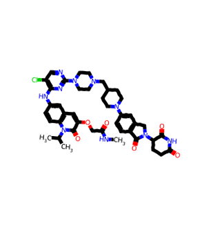 CNC(=O)COc1cc2cc(Nc3nc(N4CCN(CC5CCN(c6ccc7c(c6)CN(C6CCC(=O)NC6=O)C7=O)CC5)CC4)ncc3Cl)ccc2n(C(C)C)c1=O